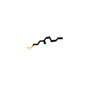 C=C/C=C\C=C/C(=C)CCCP